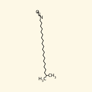 CC(C)CCCCCCCCCCCCCCCCCCCN=C=O